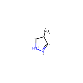 O=[N+]([O-])C1[C]NN=C1